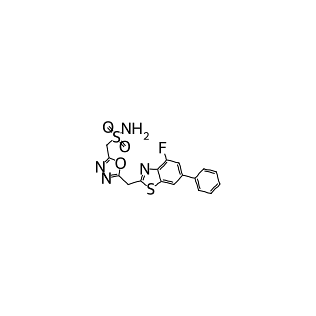 NS(=O)(=O)Cc1nnc(Cc2nc3c(F)cc(-c4ccccc4)cc3s2)o1